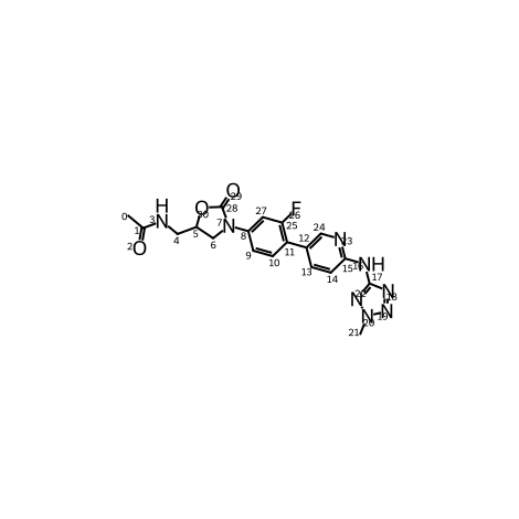 CC(=O)NCC1CN(c2ccc(-c3ccc(Nc4nnn(C)n4)nc3)c(F)c2)C(=O)O1